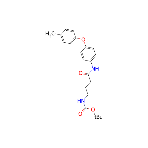 Cc1ccc(Oc2ccc(NC(=O)CCCNC(=O)OC(C)(C)C)cc2)cc1